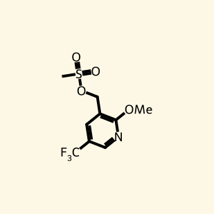 COc1ncc(C(F)(F)F)cc1COS(C)(=O)=O